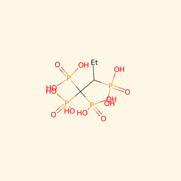 CCC(C(P(=O)(O)O)(P(=O)(O)O)P(=O)(O)O)P(=O)(O)O